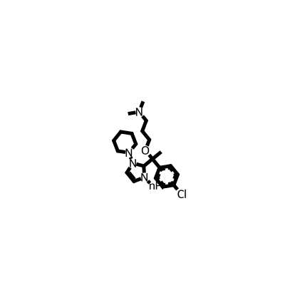 CCCN1C=CN(N2CCCCC2)C1C(C)(OCCCN(C)C)c1ccc(Cl)cc1